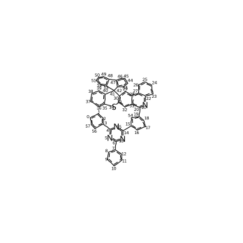 c1ccc(-c2nc(-c3ccccc3)nc(-c3cccc(-c4nc5ccccc5c5cc6c(cc45)Sc4ccccc4C64c5ccccc5-c5ccccc54)c3)n2)cc1